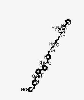 Cc1c(NC(=O)c2ccc(CNCCNC(=O)CCCNc3nc(N)n4nc(-c5ccco5)nc4n3)cn2)cccc1-c1cccc(NC(=O)c2ccc(Cn3ccc(O)c3)cn2)c1Cl